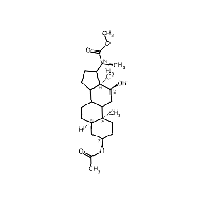 COC(=O)[C@@H](C)C1CCC2C3CC[C@@H]4C[C@H](OC(C)=O)CC[C@]4(C)C3C[C@H](O)[C@@]21C